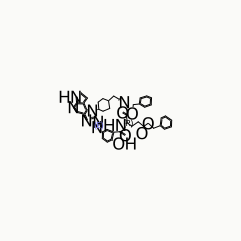 N#CCC1CCC(n2c(/N=N/c3ccc(O)c(C(=O)N[C@H](CCC(=O)OCc4ccccc4)C(=O)OCc4ccccc4)c3)nc3cnc4[nH]ccc4c32)CC1